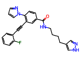 O=C(NCCCCc1cn[nH]c1)c1ccc(-n2cccn2)c(C#Cc2ccccc2F)c1